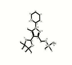 Cc1c(C2OC(C)(C)C(C)(C)O2)c(CO[Si](C)(C)C(C)(C)C)nn1C1CCCCO1